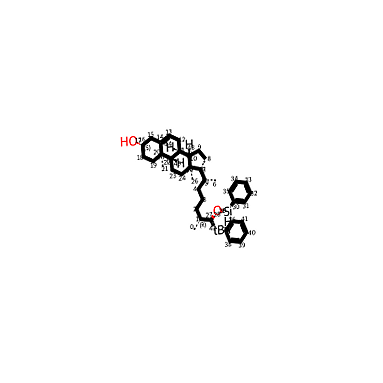 C[C@H](CCC[C@@H](C)[C@H]1CC[C@H]2[C@@H]3CC=C4C[C@@H](O)CC[C@]4(C)[C@H]3CC[C@]12C)C(O[SiH](c1ccccc1)c1ccccc1)C(C)(C)C